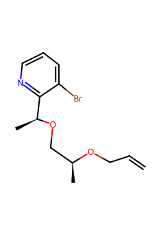 C=CCO[C@@H](C)CO[C@@H](C)c1ncccc1Br